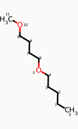 CCCCCOCCC[CH]OC